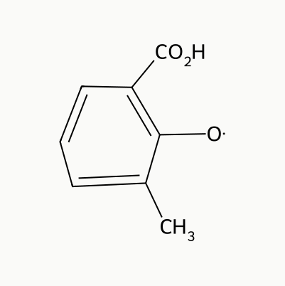 Cc1cccc(C(=O)O)c1[O]